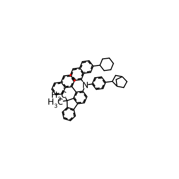 CC1(C)c2ccccc2-c2ccc(N(c3ccc(C4CC5CCC4C5)cc3)c3cccc4ccc(C5CCCCC5)cc34)c(-c3cccc4ccccc34)c21